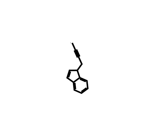 [CH2]C#CCC1C=Cc2ccccc21